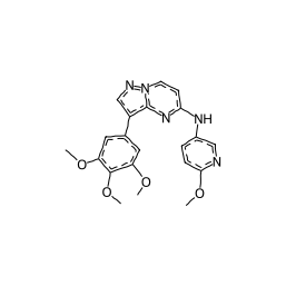 COc1ccc(Nc2ccn3ncc(-c4cc(OC)c(OC)c(OC)c4)c3n2)cn1